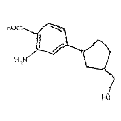 CCCCCCCCc1ccc(N2CCC(CO)C2)cc1N